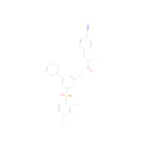 Cc1c(Cl)ccc(S(=O)(=O)N(CCc2ccccc2)CC(=O)NCC(=O)N(C)Cc2ccc(C#N)cc2)c1Cl